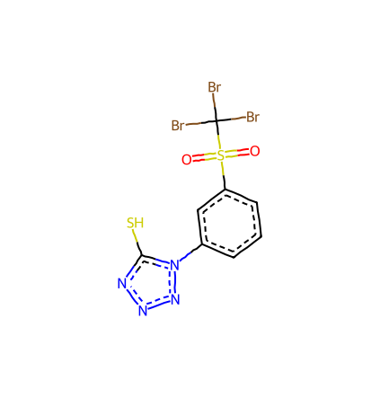 O=S(=O)(c1cccc(-n2nnnc2S)c1)C(Br)(Br)Br